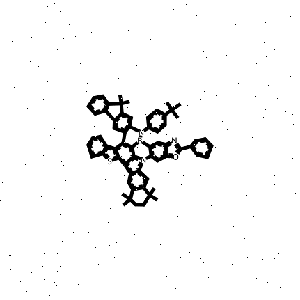 CC(C)(C)c1ccc(N2B3c4cc5nc(-c6ccccc6)oc5cc4-n4c5cc6c(cc5c5c7sc8ccccc8c7c(c3c54)-c3cc4c(cc32)C(C)(C)c2ccccc2-4)C(C)(C)CCC6(C)C)cc1